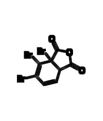 O=C1OC(=O)C2(Br)C(Br)=C(Br)C=CC12